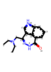 CCN(CC)CC1=NNC(=O)c2cccc3[nH]cc1c23